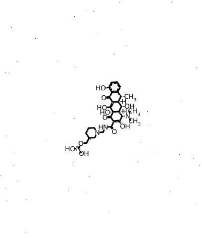 C[C@H]1c2cccc(O)c2C(=O)C2=C(O)[C@]3(O)C(=O)C(C(=O)NCN4CCCC(CON(O)O)C4)=C(O)[C@@H](N(C)C)[C@@H]3[C@@H](O)[C@@H]21